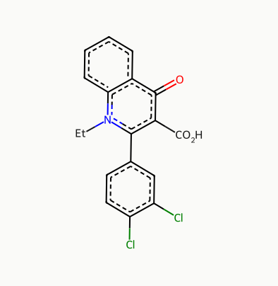 CCn1c(-c2ccc(Cl)c(Cl)c2)c(C(=O)O)c(=O)c2ccccc21